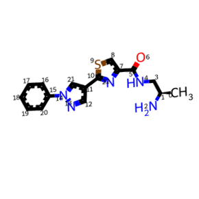 C[C@@H](N)CNC(=O)c1csc(-c2cnn(-c3ccccc3)c2)n1